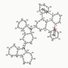 N#Cc1cccc(C#N)c1-c1c(-c2ccccc2)cc(-n2c3ccccc3c3cc(-n4c5ccccc5c5ccccc54)ccc32)cc1-c1ccccc1